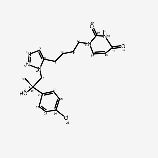 C[C@@](O)(Cn1nncc1CCCCn1ccc(=O)[nH]c1=O)c1ccc(Cl)cc1